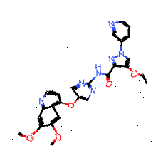 CCOc1cn(-c2cccnc2)nc1C(=O)Nc1ncc(Oc2ccnc3cc(OC)c(OC)cc23)cn1